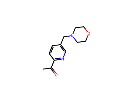 CC(=O)c1ccc(CN2CCOCC2)cn1